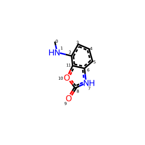 CNc1cccc2[nH]c(=O)oc12